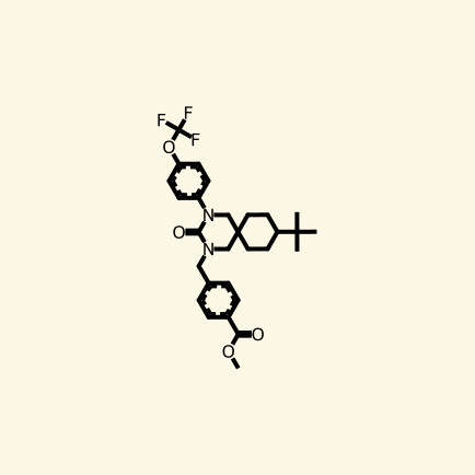 COC(=O)c1ccc(CN2CC3(CCC(C(C)(C)C)CC3)CN(c3ccc(OC(F)(F)F)cc3)C2=O)cc1